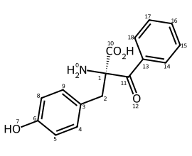 N[C@@](Cc1ccc(O)cc1)(C(=O)O)C(=O)c1ccccc1